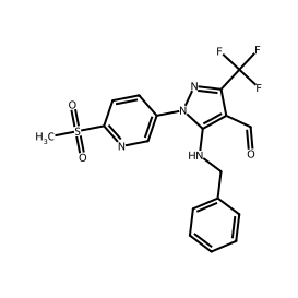 CS(=O)(=O)c1ccc(-n2nc(C(F)(F)F)c(C=O)c2NCc2ccccc2)cn1